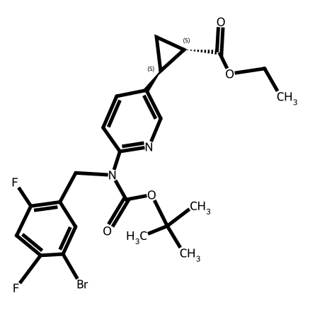 CCOC(=O)[C@H]1C[C@@H]1c1ccc(N(Cc2cc(Br)c(F)cc2F)C(=O)OC(C)(C)C)nc1